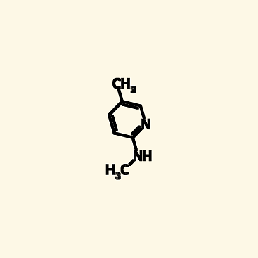 CNc1ccc(C)cn1